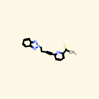 CC(F)c1cccc(C#CCCn2nc3ccccc3n2)n1